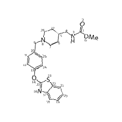 COC(=O)NCC1CCN(Cc2ccc(Oc3nc4ccccc4s3)cc2)CC1